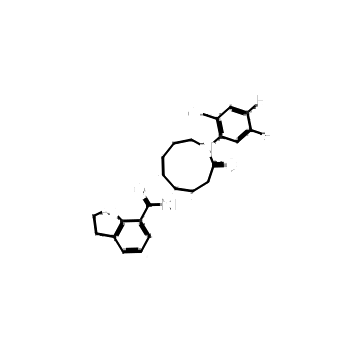 O=C(N[C@@H]1CCCCN(c2cc(F)c(F)cc2Cl)C(=O)CC1)c1cccc2c1OCC2